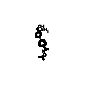 C/C(=N\OC(C)C)c1ccc([C@@H]2CC[C@](N)(CO)C2)cc1